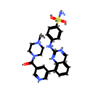 CN1CCN(C(=O)c2cncc(-c3cccc4cnc(Nc5ccc(S(N)(=O)=O)cc5)nc34)c2)CC1